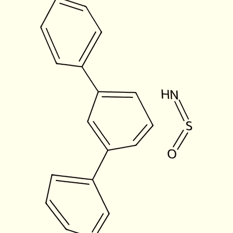 N=S=O.c1ccc(-c2cccc(-c3ccccc3)c2)cc1